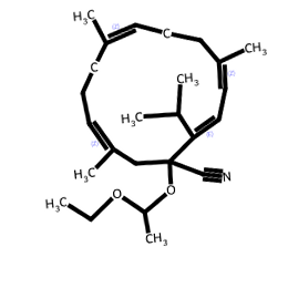 CCOC(C)OC1(C#N)C/C(C)=C\CC/C(C)=C\CC/C(C)=C\C=C\1C(C)C